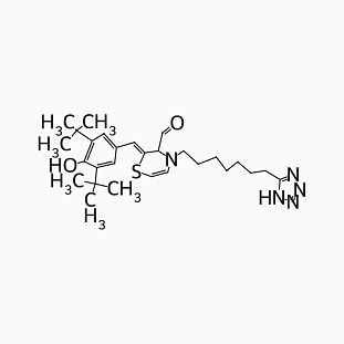 CC(C)(C)c1cc(C=C2SC=CN(CCCCCCCc3nnn[nH]3)C2C=O)cc(C(C)(C)C)c1O